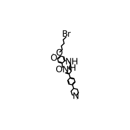 COc1cc2c(cc1OCCCCCBr)NC[C@@H]1CC(c3ccc(C4CCN(C)CC4)cc3)=CN1C2=O